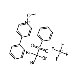 CO[n+]1ccc(-c2ccccc2)cc1.F[B-](F)(F)F.O=S(=O)(c1ccccc1)C(Br)(Br)Br